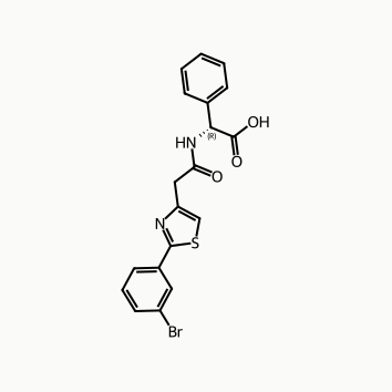 O=C(Cc1csc(-c2cccc(Br)c2)n1)N[C@@H](C(=O)O)c1ccccc1